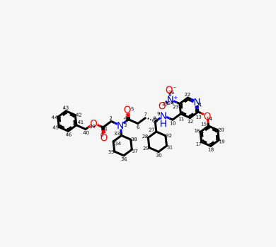 O=C(CN(C(=O)CC[C@H](NCc1cc(Oc2ccccc2)ncc1[N+](=O)[O-])C1CCCCC1)C1CCCCC1)OCc1ccccc1